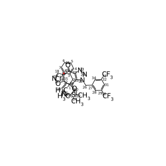 CC(Cc1ccccc1Cl)(O[Si](C)(C)C)c1oncc1C(=O)c1nnn(Cc2cc(C(F)(F)F)cc(C(F)(F)F)c2)c1-c1ccncc1